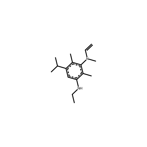 C=CN(C)c1c(C)c(NCC)cc(C(C)C)c1C